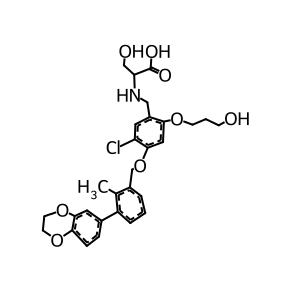 Cc1c(COc2cc(OCCCO)c(CNC(CO)C(=O)O)cc2Cl)cccc1-c1ccc2c(c1)OCCO2